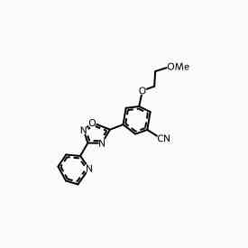 COCCOc1cc(C#N)cc(-c2nc(-c3ccccn3)no2)c1